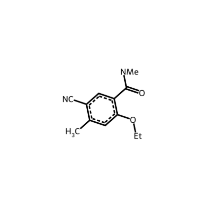 CCOc1cc(C)c(C#N)cc1C(=O)NC